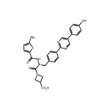 CC(C)(C)c1ccc(C(=O)N[C@@H](Cc2ccc(-c3ncc(-c4ccc(O)cc4)cn3)cc2)C(=O)N2CC(C(=O)O)C2)s1